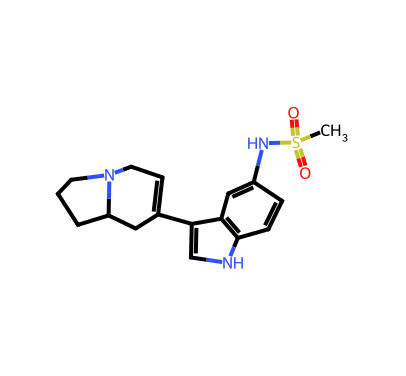 CS(=O)(=O)Nc1ccc2[nH]cc(C3=CCN4CCCC4C3)c2c1